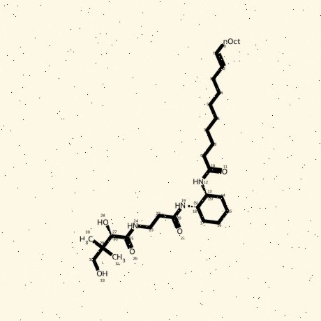 CCCCCCCCC=CCCCCCCCC(=O)N[C@H]1CCCC[C@@H]1NC(=O)CCNC(=O)[C@H](O)C(C)(C)CO